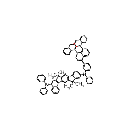 CC1(C)c2cc(N(c3ccccc3)c3cccc(-c4ccc(-c5cccc6ccccc56)c5c(-c6cccc7ccccc67)cccc45)c3)ccc2-c2cc3c(cc21)-c1c(cc(N(c2ccccc2)c2ccccc2)c2ccccc12)C3(C)C